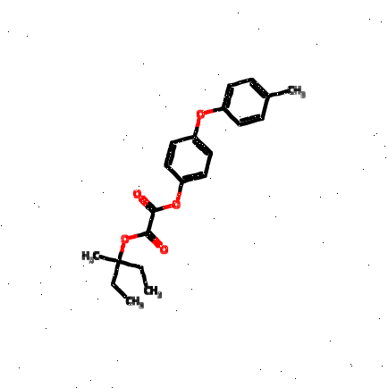 CCC(C)(CC)OC(=O)C(=O)Oc1ccc(Oc2ccc(C)cc2)cc1